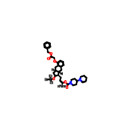 CCCCC[C@@H](CC[C@H]1C(O[Si](CC)(CC)CC)C[C@@H]2Cc3c(cccc3OCC(=O)OCc3ccccc3)C[C@@H]21)OC(=O)N1CCC(N2CCCCC2)CC1